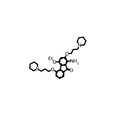 CCOc1cc(OCCCN2CCCCC2)c(N)c2c1-c1c(OCCCN3CCCCC3)cccc1C2=O